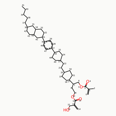 C=C(C)C(=O)OCC(CCOC(=O)C(=C)CO)C1CCC(CCC2CCC(c3ccc(C4CCC5CC(CCCCC)CCC5C4)cc3)CC2)CC1